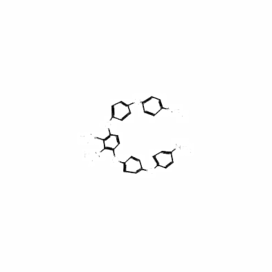 Nc1ccc(Oc2ccc(Oc3ccc(Oc4ccc(Oc5ccc(N)cc5)cc4)c(N)c3N)cc2)cc1